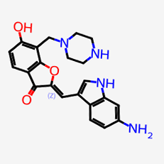 Nc1ccc2c(/C=C3\Oc4c(ccc(O)c4CN4CCNCC4)C3=O)c[nH]c2c1